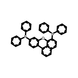 c1ccc(N(c2ccccc2)c2ccc3c(c2)Oc2c(N(c4ccccc4)c4ccccc4)ccc4cccc-3c24)cc1